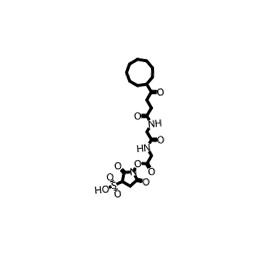 O=C(CCC(=O)C1CCCCCCCC1)NCC(=O)NCC(=O)ON1C(=O)CC(S(=O)(=O)O)C1=O